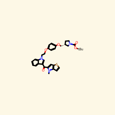 Cn1c(C(=O)c2cn(CCOc3ccc(OC[C@@H]4CCN(C(=O)OC(C)(C)C)C4)cc3)c3ccccc23)cc2sccc21